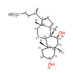 C[C@H](CCC(=O)O)C1CCC2[C@H]3C(CC[C@@]21C)[C@@]1(C)CC[C@@H](O)C[C@H]1C[C@@H]3O